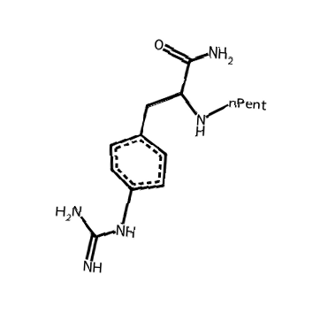 CCCCCNC(Cc1ccc(NC(=N)N)cc1)C(N)=O